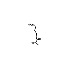 [2H]C(C)C([2H])CCCCCCCCC